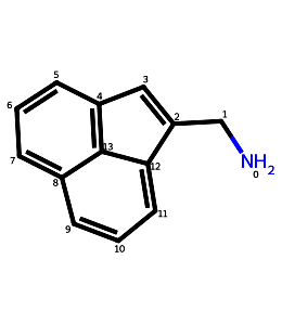 NCC1=Cc2cccc3cccc1c23